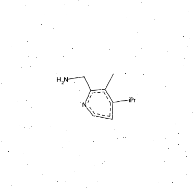 Cc1c(C(C)C)ccnc1CN